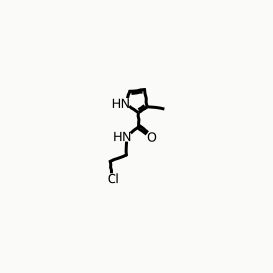 Cc1cc[nH]c1C(=O)NCCCl